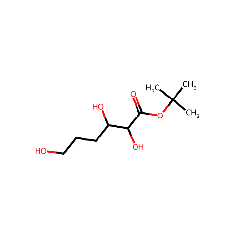 CC(C)(C)OC(=O)C(O)C(O)CCCO